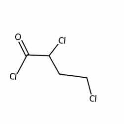 O=C(Cl)C(Cl)CCCl